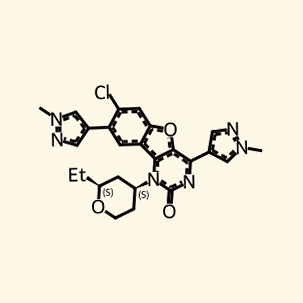 CC[C@H]1C[C@@H](n2c(=O)nc(-c3cnn(C)c3)c3oc4cc(Cl)c(-c5cnn(C)c5)cc4c32)CCO1